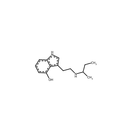 CCC(C)NCCc1c[nH]c2cccc(O)c12